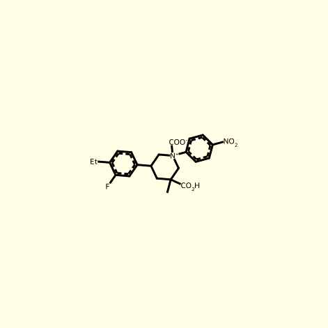 CCc1ccc(C2CC(C)(C(=O)O)C[N+](C(=O)[O-])(c3ccc([N+](=O)[O-])cc3)C2)cc1F